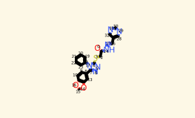 O=C(CSc1nnc(-c2ccc3c(c2)OCO3)n1-c1ccccc1)N/N=C/c1cncnc1